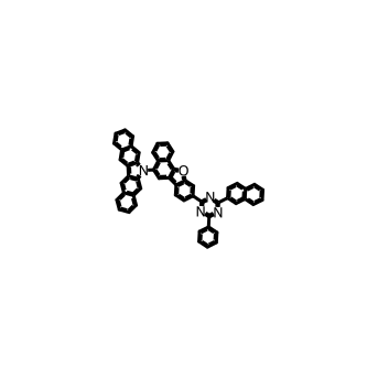 c1ccc(-c2nc(-c3ccc4ccccc4c3)nc(-c3ccc4c(c3)oc3c5ccccc5c(-n5c6cc7ccccc7cc6c6cc7ccccc7cc65)cc43)n2)cc1